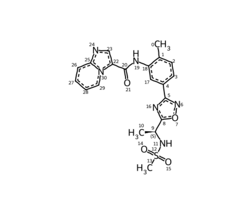 Cc1ccc(-c2noc([C@H](C)NS(C)(=O)=O)n2)cc1NC(=O)c1cnc2ccccn12